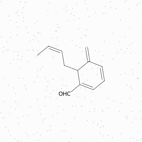 C=C1C=CC=C(C=O)C1C/C=C\C